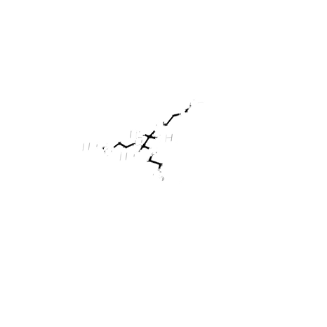 COCCOC([SiH3])(S)C(C)(OCCOC)OCCOC